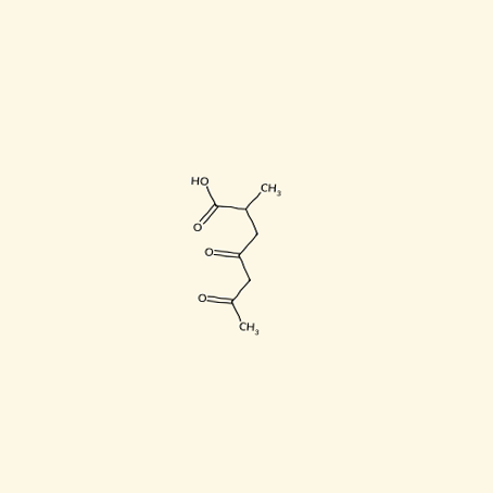 CC(=O)CC(=O)CC(C)C(=O)O